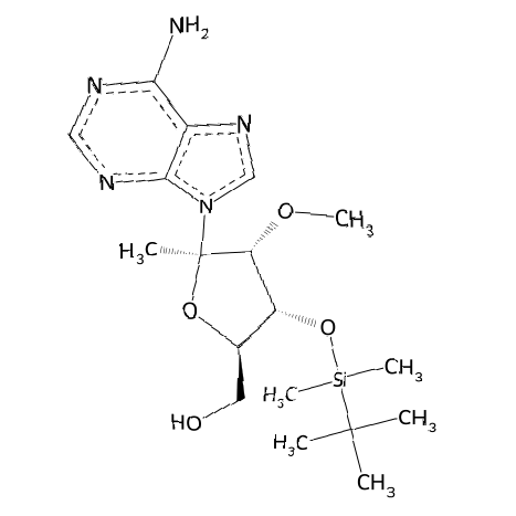 CO[C@@H]1[C@H](O[Si](C)(C)C(C)(C)C)[C@@H](CO)O[C@@]1(C)n1cnc2c(N)ncnc21